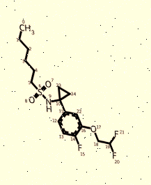 CCCCCCS(=O)(=O)NC1(c2ccc(F)c(OCC(F)F)c2)CC1